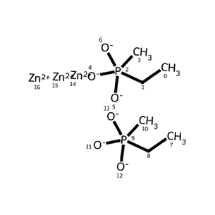 CCP(C)([O-])([O-])[O-].CCP(C)([O-])([O-])[O-].[Zn+2].[Zn+2].[Zn+2]